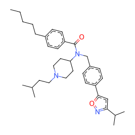 CCCCCc1ccc(C(=O)N(Cc2ccc(-c3cc(C(C)C)no3)cc2)C2CCN(CCC(C)C)CC2)cc1